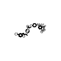 CC(c1cc2cc(Cl)ccc2o1)N1CCN(C(=O)CO[C@H]2CC[C@H](Nc3ccc([N+](=O)[O-])c(C(F)(F)F)c3)CC2)CC1